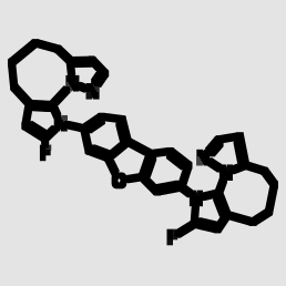 Fc1cc2c(n1-c1ccc3c(c1)oc1cc(-n4c(F)cc5c4-n4nccc4CCCC5)ccc13)-n1nccc1CCCC2